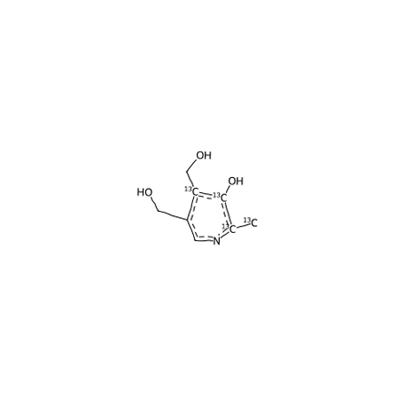 [13CH3][13c]1ncc(CO)[13c](CO)[13c]1O